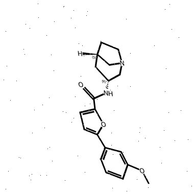 COc1cccc(-c2ccc(C(=O)N[C@@H]3C[C@@H]4CCN(C4)C3)o2)c1